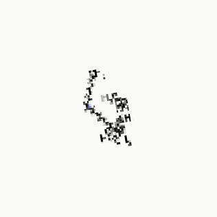 CCCCCCCC/C=C\CCCCCCCC(=O)C1=[N+](C(C)O)CCN1CC.CCOS(=O)(=O)[O-]